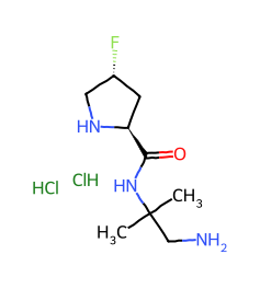 CC(C)(CN)NC(=O)[C@@H]1C[C@@H](F)CN1.Cl.Cl